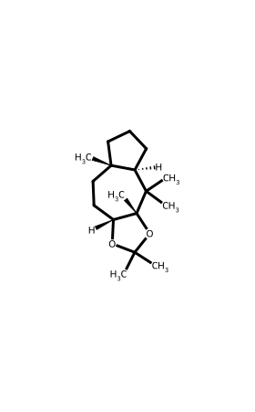 CC1(C)O[C@@H]2CC[C@]3(C)CCC[C@H]3C(C)(C)[C@]2(C)O1